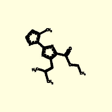 CCOC(=O)c1nc(-c2sccc2C)sc1CC(C)C